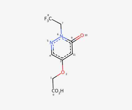 O=C(O)COc1cnn(CC(F)(F)F)c(=O)c1